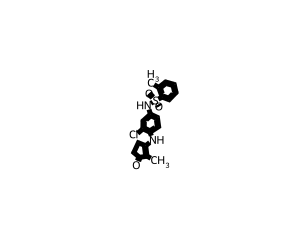 CC1=C(Nc2ccc(NS(=O)(=O)c3ccccc3C)cc2Cl)CCC1=O